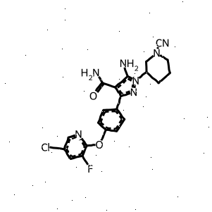 N#CN1CCCC(n2nc(-c3ccc(Oc4ncc(Cl)cc4F)cc3)c(C(N)=O)c2N)C1